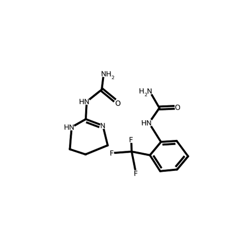 NC(=O)NC1=NCCCN1.NC(=O)Nc1ccccc1C(F)(F)F